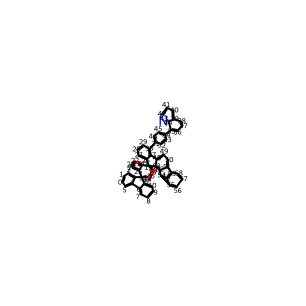 c1ccc2c(c1)-c1ccccc1C21c2ccccc2C2(c3ccccc31)c1cccc(-c3ccc(-c4cccc5cccnc45)cc3)c1-c1ccc3c(c12)C1c2cccc-3c21